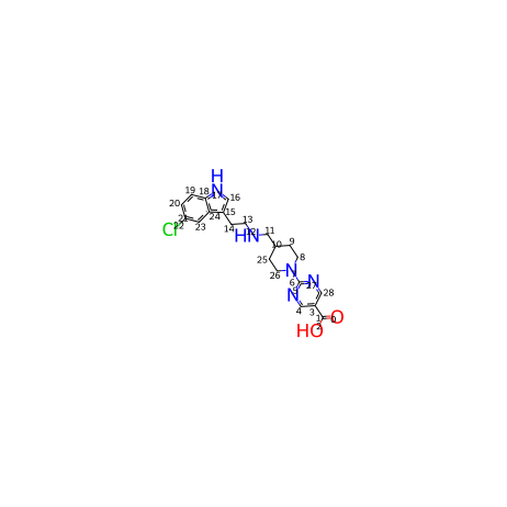 O=C(O)c1cnc(N2CCC(CNCCc3c[nH]c4ccc(Cl)cc34)CC2)nc1